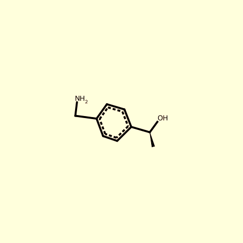 C[C@H](O)c1ccc(CN)cc1